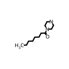 CCCCCCCC(=O)N1CC[N]CC1